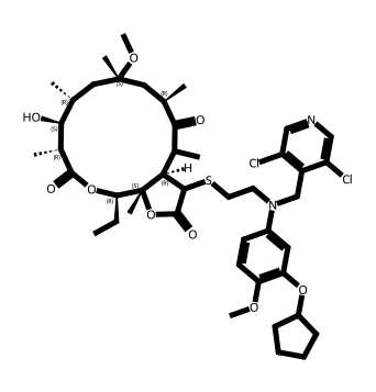 CC[C@H]1OC(=O)[C@H](C)[C@@H](O)[C@H](C)C[C@](C)(OC)C[C@@H](C)C(=O)C(C)[C@H]2C(SCCN(Cc3c(Cl)cncc3Cl)c3ccc(OC)c(OC4CCCC4)c3)C(=O)O[C@@]21C